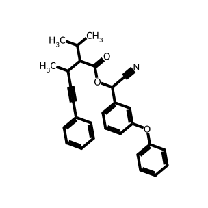 CC(C)C(C(=O)OC(C#N)c1cccc(Oc2ccccc2)c1)C(C)C#Cc1ccccc1